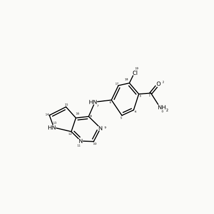 NC(=O)c1ccc(Nc2ncnc3[nH]ccc23)cc1Cl